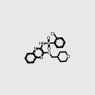 O=S(=O)(Nc1nc2ccccc2nc1OCC1CCOCC1)c1ccccc1Cl